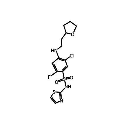 O=S(=O)(Nc1nccs1)c1cc(Cl)c(NCCC2CCCO2)cc1F